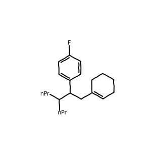 CCCC(CCC)C(CC1=CCCCC1)c1ccc(F)cc1